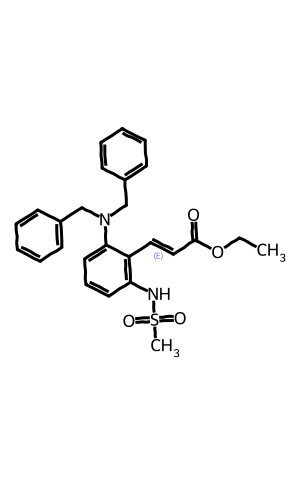 CCOC(=O)/C=C/c1c(NS(C)(=O)=O)cccc1N(Cc1ccccc1)Cc1ccccc1